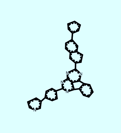 c1ccc(-c2ccc3cc(-c4nc5c6c(nc(-c7ccc(-c8cccnc8)cc7)nc6n4)-c4ccccc4-5)ccc3c2)cc1